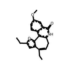 CCC1=CCc2[nH]c(=O)c3cc(OC)ccc3c2-c2oc(CC)cc21